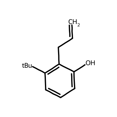 C=CCc1c(O)cccc1C(C)(C)C